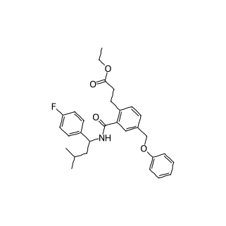 CCOC(=O)CCc1ccc(COc2ccccc2)cc1C(=O)NC(CC(C)C)c1ccc(F)cc1